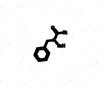 CCC(=O)[N]([RaH])Cc1ccccc1